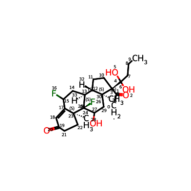 [CH2]C(=O)[C@@]1(C(O)(O)CCC)CC[C@H]2[C@@H]3CC(F)C4=CC(=O)CC[C@]4(C)[C@@]3(F)C(O)C[C@@]21C